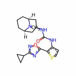 CN1[C@@H]2CCC[C@H]1C[C@@H](NC(=O)Nc1ccsc1-c1nc(C3CC3)no1)C2